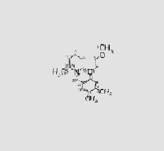 COCCOc1cc(C)c(C)cc1CN1CCCC[C@H]1C